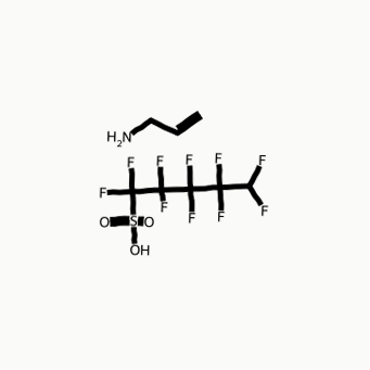 C=CCN.O=S(=O)(O)C(F)(F)C(F)(F)C(F)(F)C(F)(F)C(F)F